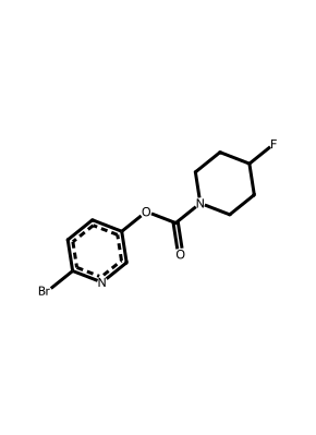 O=C(Oc1ccc(Br)nc1)N1CCC(F)CC1